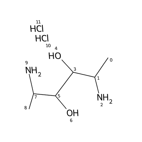 CC(N)C(O)C(O)C(C)N.Cl.Cl